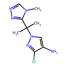 Cn1cnnc1C(C)(C)n1cc(N)c(Cl)n1